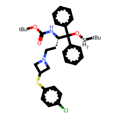 CC(C)(C)OC(=O)N[C@@H](CCN1CC(Sc2ccc(Cl)cc2)C1)C(O[SiH2]C(C)(C)C)(c1ccccc1)c1ccccc1